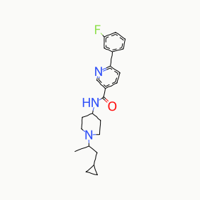 CC(CC1CC1)N1CCC(NC(=O)c2ccc(-c3cccc(F)c3)nc2)CC1